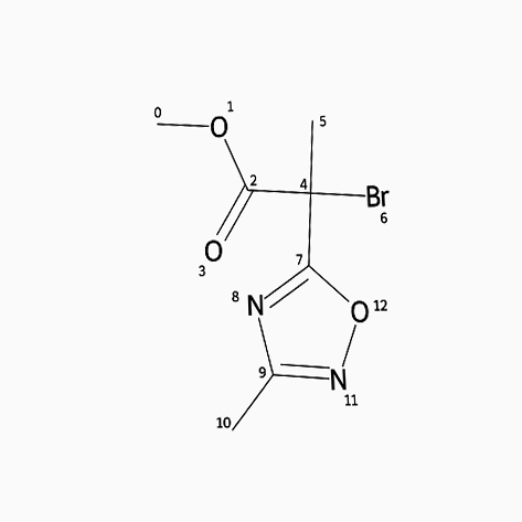 COC(=O)C(C)(Br)c1nc(C)no1